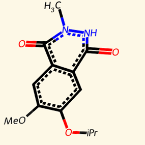 COc1cc2c(=O)n(C)[nH]c(=O)c2cc1OC(C)C